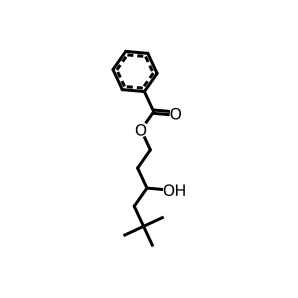 CC(C)(C)CC(O)CCOC(=O)c1ccccc1